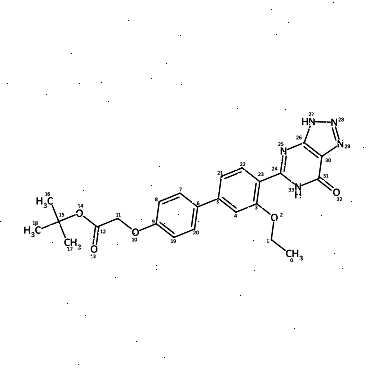 CCOc1cc(-c2ccc(OCC(=O)OC(C)(C)C)cc2)ccc1-c1nc2[nH]nnc2c(=O)[nH]1